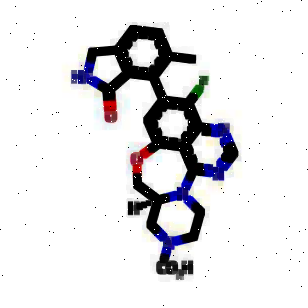 Cc1ccc2c(c1-c1cc3c4c(ncnc4c1F)N1CCN(C(=O)O)C[C@H]1CO3)C(=O)NC2